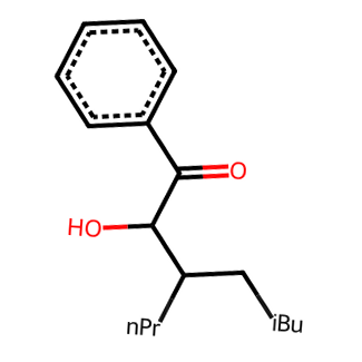 CCCC(CC(C)CC)C(O)C(=O)c1ccccc1